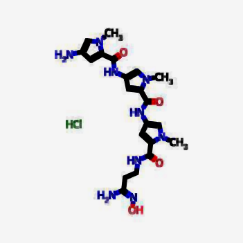 Cl.Cn1cc(NC(=O)c2cc(NC(=O)c3cc(N)cn3C)cn2C)cc1C(=O)NCCC(N)=NO